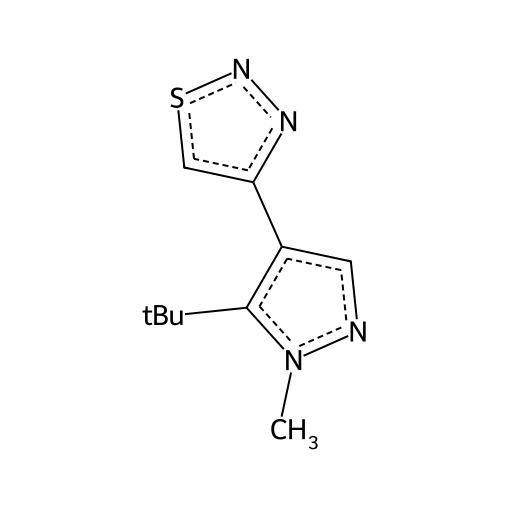 Cn1ncc(-c2csnn2)c1C(C)(C)C